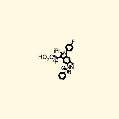 [2H]/C(=C\C(=O)O)c1c(C(C)C)n(-c2ccc(F)cc2)c2cc3cnn(S(=O)(=O)c4ccccc4)c3cc12